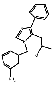 CC(O)Cc1c(-c2ccccc2)ncn1CC1C=CN=C(N)C1